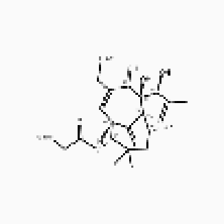 CCCCCCCCCCCC(=O)O[C@@H]1[C@@H]2C=C(COC(C)=O)[C@@H](O)[C@]3(O)[C@@H](O)C(C)=C[C@@]3(C2=O)[C@H](C)CC1(C)C